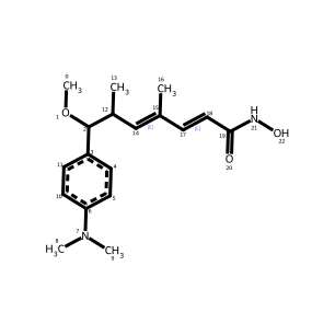 COC(c1ccc(N(C)C)cc1)C(C)/C=C(C)/C=C/C(=O)NO